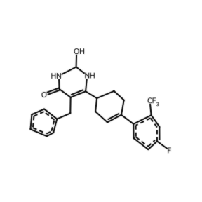 O=C1NC(O)NC(C2CC=C(c3ccc(F)cc3C(F)(F)F)CC2)=C1Cc1ccccc1